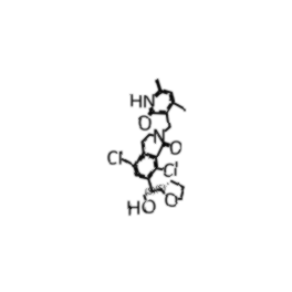 Cc1cc(C)c(CN2CCc3c(Cl)cc([C@@H](CO)[C@@H]4CCCO4)c(Cl)c3C2=O)c(=O)[nH]1